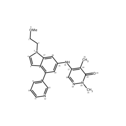 COCCn1ccc2c(-c3cccnc3)cc(Nc3cnn(C)c(=O)c3C)cc21